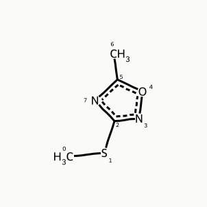 CSc1noc(C)n1